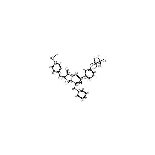 COc1ccc(/C=C2/N=C3C(Cc4ccccc4)=NC(c4cccc(O[Si](C)(C)C(C)(C)C)c4)=CN3C2=O)cc1